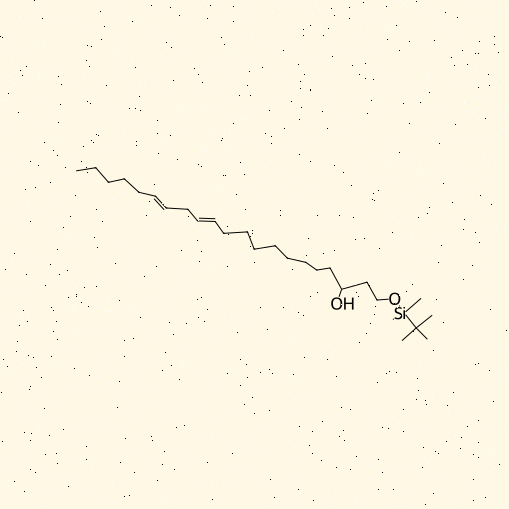 CCCCCC=CCC=CCCCCCCCCC(O)CCO[Si](C)(C)C(C)(C)C